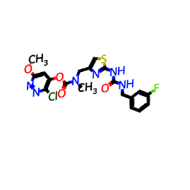 COc1cc(OC(=O)N(C)Cc2csc(NC(=O)NCc3cccc(F)c3)n2)c(Cl)nn1